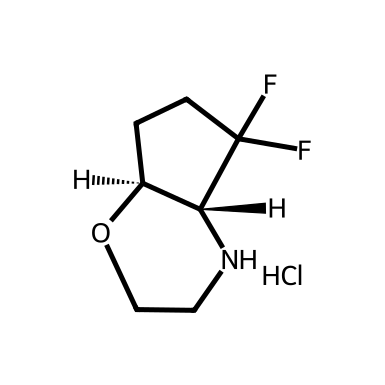 Cl.FC1(F)CC[C@@H]2OCCN[C@H]21